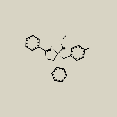 COC(=O)[C@@]1(Cc2ccc(Cl)cc2)N=C(c2ccccc2)O[C@H]1c1ccccc1